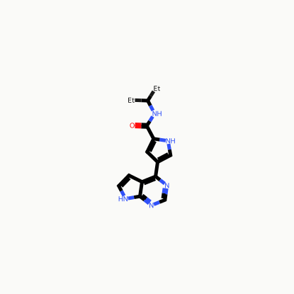 CCC(CC)NC(=O)c1cc(-c2ncnc3[nH]ccc23)c[nH]1